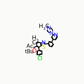 CC(=O)[C@@H](OC(C)(C)C)c1c(C)cc2nc(-c3cccc(-c4ccnc(N5CCN(C)CC5)c4)c3)sc2c1-c1ccc(Cl)cc1